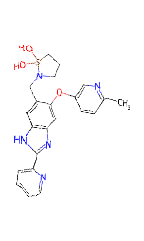 Cc1ccc(Oc2cc3nc(-c4ccccn4)[nH]c3cc2CN2CCCS2(O)O)cn1